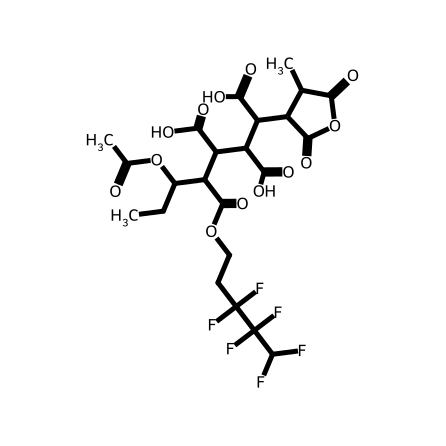 CCC(OC(C)=O)C(C(=O)OCCC(F)(F)C(F)(F)C(F)F)C(C(=O)O)C(C(=O)O)C(C(=O)O)C1C(=O)OC(=O)C1C